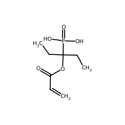 C=CC(=O)OC(CC)(CC)P(=O)(O)O